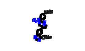 CNC1CCC(N)(c2ncc3c(-c4ccc5ncnc(OC)c5c4)ccn3n2)CC1